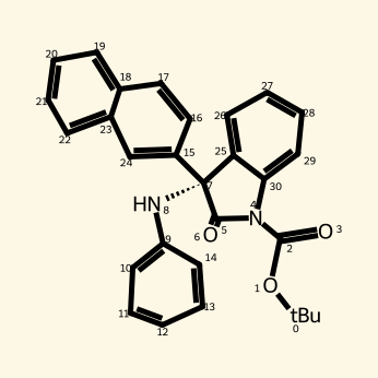 CC(C)(C)OC(=O)N1C(=O)[C@@](Nc2ccccc2)(c2ccc3ccccc3c2)c2ccccc21